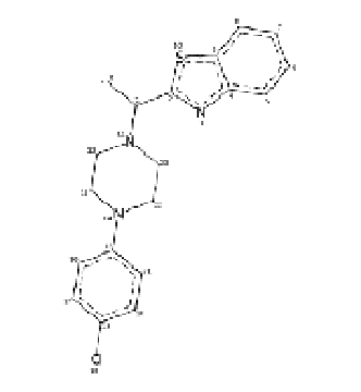 [CH2]C(c1nc2ccccc2s1)N1CCN(c2ccc(Cl)cc2)CC1